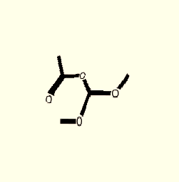 COC(OC)OC(C)=O